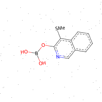 CSc1c(OB(O)O)ncc2ccccc12